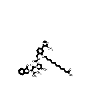 Cc1ncsc1-c1ccc(CNC(=O)[C@@H]2C[C@@H](O)CN2C(=O)[C@H](C(C)C)N2Cc3ccccc3C2=O)c(OCCCCCCCCCCC(=O)O)c1